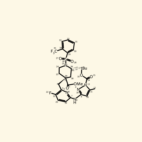 COC(=O)[C@]1(Cc2nc(Nc3cc(C)n(C(=O)OC(C)(C)C)n3)ccc2F)CCN(S(=O)(=O)c2ccccc2C(F)(F)F)[C@H](C)C1